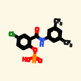 O=C(Nc1cc(C(F)(F)F)cc(C(F)(F)F)c1)c1cc(Cl)ccc1O[PH](=O)O